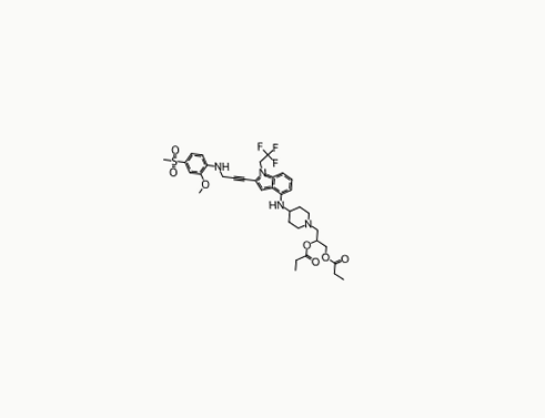 CCC(=O)OCC(CN1CCC(Nc2cccc3c2cc(C#CCNc2ccc(S(C)(=O)=O)cc2OC)n3CC(F)(F)F)CC1)OC(=O)CC